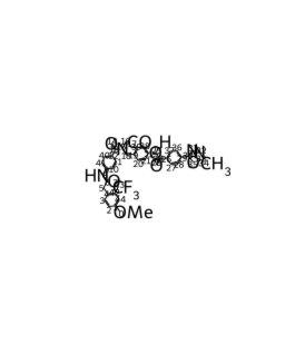 COc1ccc(CC(=O)Nc2ccc(C(=O)N(CC(=O)O)Cc3ccc(OC(=O)c4ccc(-c5nnc(C)o5)cc4)cc3)cc2)c(C(F)(F)F)c1